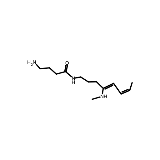 C/C=C\C=C(\CCCNC(=O)CCCN)NC